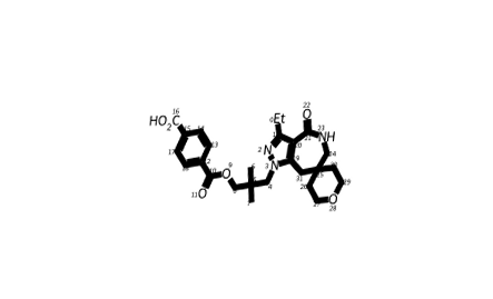 CCc1nn(CC(C)(C)COC(=O)c2ccc(C(=O)O)cc2)c2c1C(=O)NCC1(CCOCC1)C2